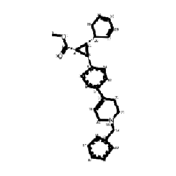 COC(=O)[C@H]1[C@H](c2ccc(C3=CCN(Cc4ccccc4)CC3)cc2)[C@H]1C1C=CC=CC1